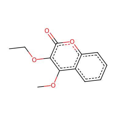 CCOc1c(OC)c2ccccc2oc1=O